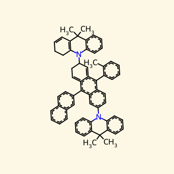 Cc1ccccc1-c1c2c(c(-c3ccc4ccccc4c3)c3cc(N4c5ccccc5C(C)(C)c5ccccc54)ccc13)=CCC(N1C3=C(C=CCC3)C(C)(C)c3ccccc31)C=2